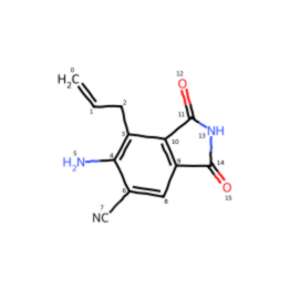 C=CCc1c(N)c(C#N)cc2c1C(=O)NC2=O